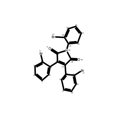 O=C1C(c2ccccc2Br)=C(c2ccccc2Br)C(=O)N1c1ccccc1Br